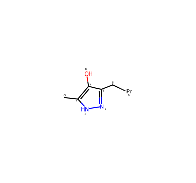 Cc1[nH]nc(CC(C)C)c1O